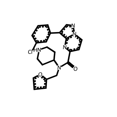 O=C(c1ccn2ncc(-c3cccc(Cl)c3)c2n1)N(Cc1ccco1)C1CCNCC1